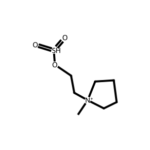 C[N+]1(CCO[SH](=O)=O)CCCC1